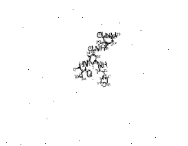 CCC1(C(=O)Nc2cc(NCCN3CCOCC3)cc(C(=O)NCc3c(C)cc(C)[nH]c3=O)c2C)CC1